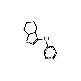 C1=C(Nc2ccccc2)C2CCCCC2O1